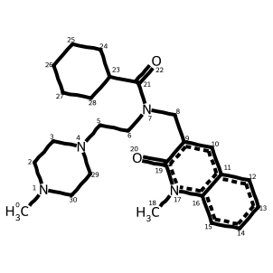 CN1CCN(CCN(Cc2cc3ccccc3n(C)c2=O)C(=O)C2CCCCC2)CC1